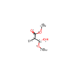 CCC(C(=O)OC(C)(C)C)[C@H](O)OC(C)(C)C